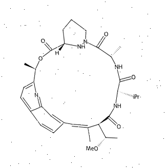 CO[C@@H](C)[C@@H]1C(=O)N[C@@H](C(C)C)C(=O)N[C@@H](C)C(=O)N2CCC[C@H](N2)C(=O)O[C@H](C)c2ccc3ccc(cc3n2)/C=C/1C